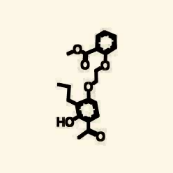 CCCc1c(OCCOc2ccccc2C(=O)OC)ccc(C(C)=O)c1O